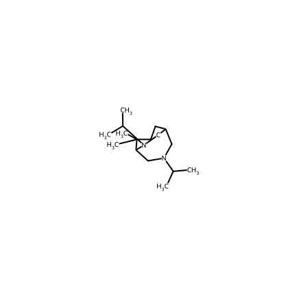 CC(C)N1CC2CCC(C)(C)C(C1)N(C(C)C)C2